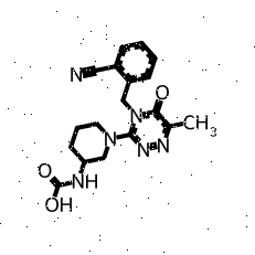 Cc1nnc(N2CCCC(NC(=O)O)C2)n(Cc2ccccc2C#N)c1=O